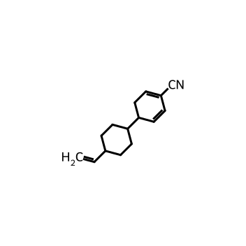 C=CC1CCC(C2C=CC(C#N)=CC2)CC1